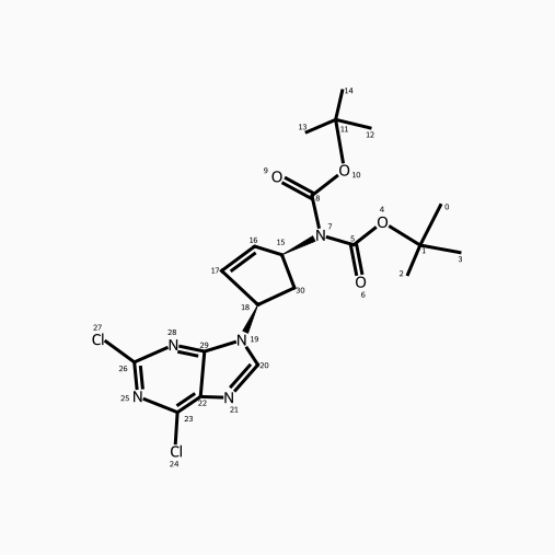 CC(C)(C)OC(=O)N(C(=O)OC(C)(C)C)[C@@H]1C=C[C@H](n2cnc3c(Cl)nc(Cl)nc32)C1